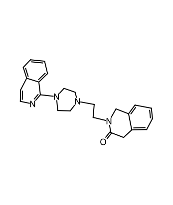 O=C1Cc2ccccc2CN1CCN1CCN(c2nccc3ccccc23)CC1